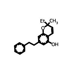 CCC1(C)C=Cc2c(O)cc(CCc3ccccc3)cc2O1